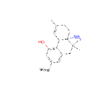 CCCCCc1cc(O)c2c(c1)CC(C)(C)C1(N)CCC(C)=CC21